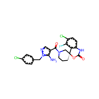 Nc1c(C(=O)N2CCC[C@@]3(C2)OC(=O)Nc2ccc(Cl)c(F)c23)cnn1Cc1ccc(Cl)cc1